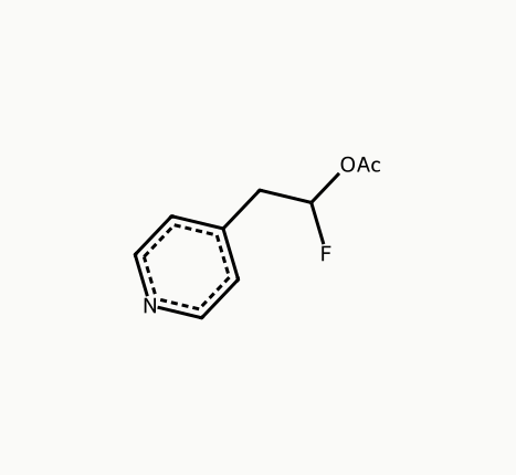 CC(=O)OC(F)Cc1ccncc1